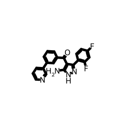 Nc1[nH]nc(-c2ccc(F)cc2F)c1C(=O)c1cccc(-c2cccnc2)c1